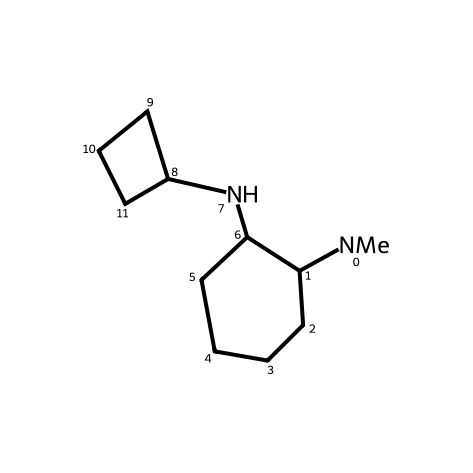 CNC1CCCCC1NC1CCC1